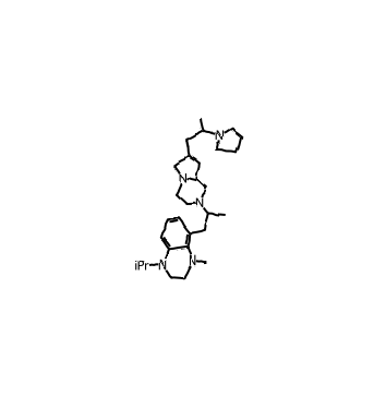 CC(CC1CC2CN(C(C)Cc3cccc4c3N(C)CCN4C(C)C)CCN2C1)N1CCCC1